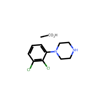 CC(=O)O.Clc1cccc(N2CCNCC2)c1Cl